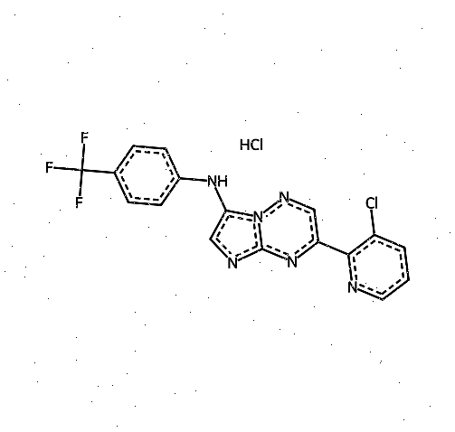 Cl.FC(F)(F)c1ccc(Nc2cnc3nc(-c4ncccc4Cl)cnn23)cc1